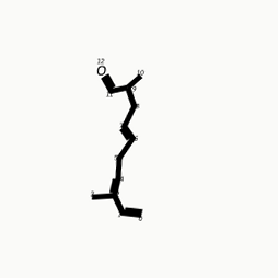 C=CC(C)=CCC=CCC(C)C=O